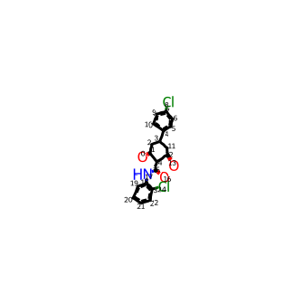 O=C1CC(c2ccc(Cl)cc2)CC(=O)C1C(=O)Nc1ccccc1Cl